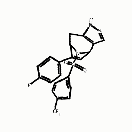 O=S(=O)(c1ccc(C(F)(F)F)cc1)N1C2Cc3[nH]ncc3C1C=C2c1ccc(F)cc1